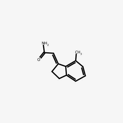 Cc1cccc2c1C(=CC(N)=O)CC2